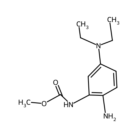 CCN(CC)c1ccc(N)c(NC(=O)OC)c1